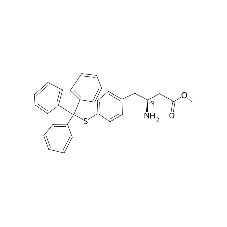 COC(=O)C[C@@H](N)Cc1ccc(SC(c2ccccc2)(c2ccccc2)c2ccccc2)cc1